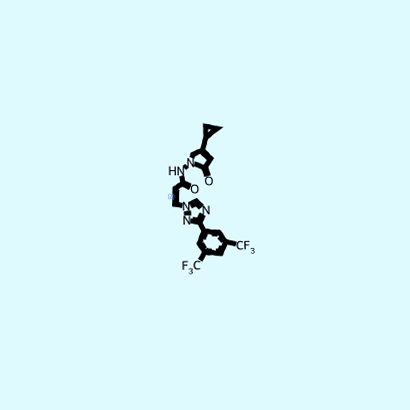 O=C(/C=C\n1cnc(-c2cc(C(F)(F)F)cc(C(F)(F)F)c2)n1)NN1CC(C2CC2)=CC1=O